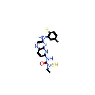 CCN(S)C(=O)Nc1ccc2ncc(Nc3cc(C)ccc3F)nc2n1